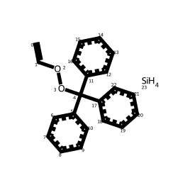 C=COOC(c1ccccc1)(c1ccccc1)c1ccccc1.[SiH4]